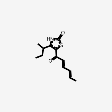 C/C=C/C=C/C(=O)c1sc(=O)[nH]c1C(C)CC